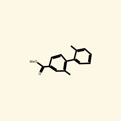 COC(=O)c1ccc(-c2ccccc2C)c(C)c1